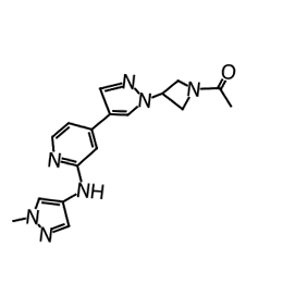 CC(=O)N1CC(n2cc(-c3ccnc(Nc4cnn(C)c4)c3)cn2)C1